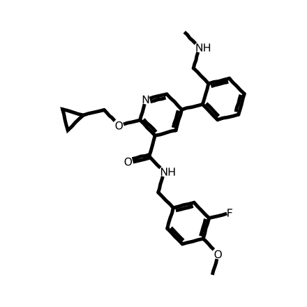 CNCc1ccccc1-c1cnc(OCC2CC2)c(C(=O)NCc2ccc(OC)c(F)c2)c1